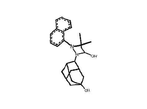 CC1(C)C(O)N(C2C3CC4CC2CC(O)(C4)C3)N1c1cccc2ccccc12